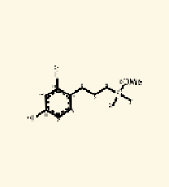 CO[Si](C)(C)CCCc1ccc(F)cc1F